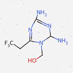 NC1=NC(N)N(CO)C(CC(F)(F)F)=N1